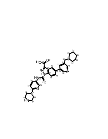 O=C(O)c1nn(C(=O)Nc2ccc(N3CCNCC3)nc2)c2ccc(-c3cncc(CN4CCCCC4)c3)cc12